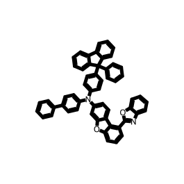 c1ccc(-c2ccc(N(c3ccc(C4(c5ccccc5)c5ccccc5-c5ccccc54)cc3)c3ccc4c(c3)oc3cccc(-c5nc6ccccc6o5)c34)cc2)cc1